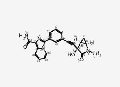 CN1C(=O)[C@](O)(C#Cc2cccc(-c3nc(C(N)=O)c4ccccn34)c2)[C@H]2C[C@H]21